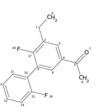 CCc1cc(C(C)=O)cc(-c2ccccc2F)c1F